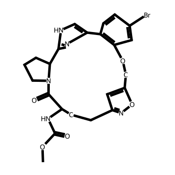 COC(=O)NC1CCc2cc(on2)COc2cc(Br)ccc2-c2c[nH]c(n2)C2CCCN2C1=O